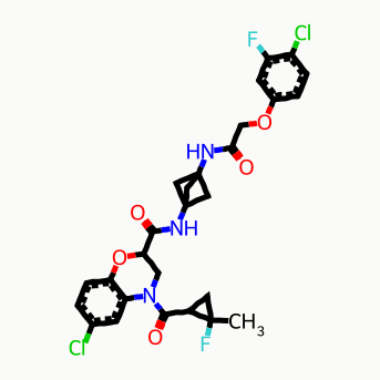 CC1(F)CC1C(=O)N1CC(C(=O)NC23CC(NC(=O)COc4ccc(Cl)c(F)c4)(C2)C3)Oc2ccc(Cl)cc21